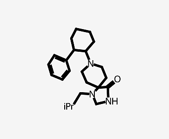 CC(C)CN1CNC(=O)C12CCN(C1CCCCC1c1ccccc1)CC2